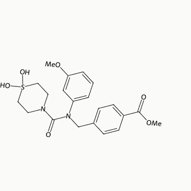 COC(=O)c1ccc(CN(C(=O)N2CCS(O)(O)CC2)c2cccc(OC)c2)cc1